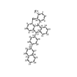 Fc1cccc(-c2c3ccccc3c(-c3ccc(-c4ccc5ccccc5c4)cc3)c3ccccc23)c1F